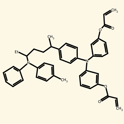 C=CC(=O)Oc1cccc(N(c2ccc(C(C)CCC(CC)N(c3ccccc3)c3ccc(C)cc3)cc2)c2cccc(OC(=O)C=C)c2)c1